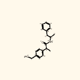 CC(C)Cc1ccc(C(C)C(=O)NC(C)Cc2ccccc2)cc1